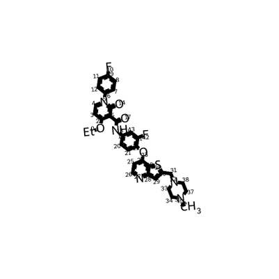 CCOc1ccn(-c2ccc(F)cc2)c(=O)c1C(=O)Nc1ccc(Oc2ccnc3cc(CN4CCN(C)CC4)sc23)c(F)c1